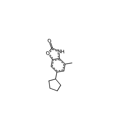 Cc1cc(C2CCCC2)cc2oc(=O)[nH]c12